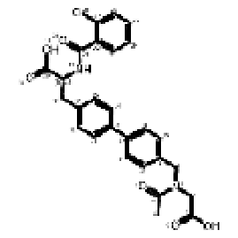 CC(=O)N(CC(=O)O)Cc1ccc(-c2ccc(C[C@H](NC(=O)c3ccccc3Cl)C(=O)O)cc2)cc1